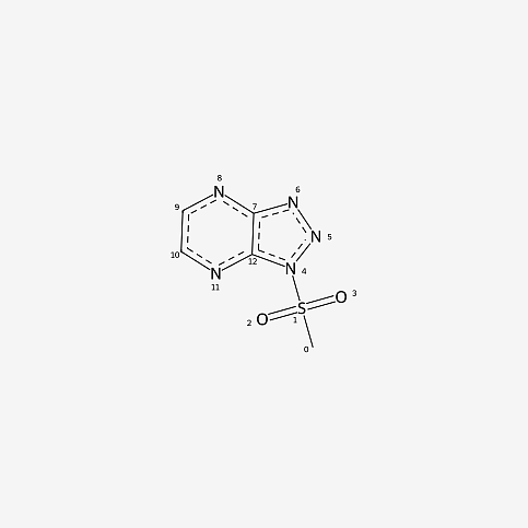 CS(=O)(=O)n1nnc2nccnc21